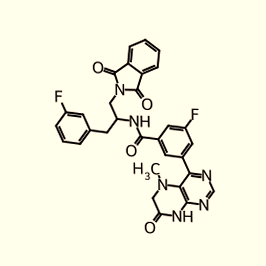 CN1CC(=O)Nc2ncnc(-c3cc(F)cc(C(=O)NC(Cc4cccc(F)c4)CN4C(=O)c5ccccc5C4=O)c3)c21